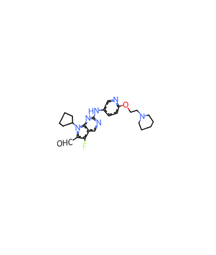 O=Cc1c(F)c2cnc(Nc3ccc(OCCN4CCCCC4)nc3)nc2n1C1CCCC1